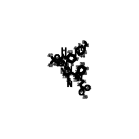 CCN1CCN(c2ccc(Nc3ncc(C#N)c(-c4cn(CCC(=O)OC)c5ccccc45)n3)c(NC(=O)OC(C)(C)C)c2)CC1